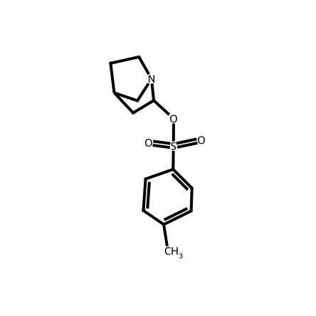 Cc1ccc(S(=O)(=O)OC2CC3CCN2C3)cc1